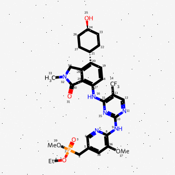 CCOP(=O)(Cc1cnc(Nc2ncc(C(F)(F)F)c(Nc3ccc([C@H]4CC[C@H](O)CC4)c4c3C(=O)N(C)C4)n2)c(OC)c1)OC